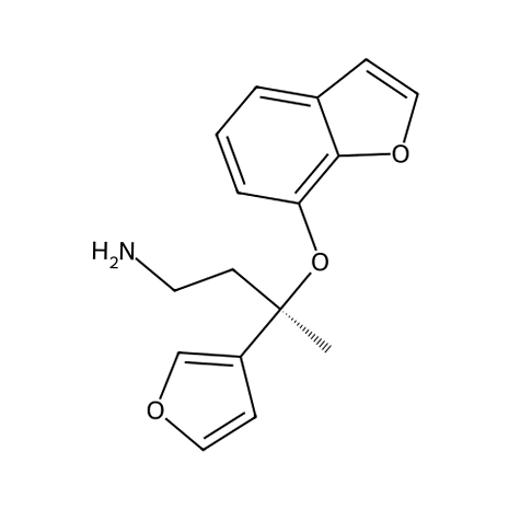 C[C@](CCN)(Oc1cccc2ccoc12)c1ccoc1